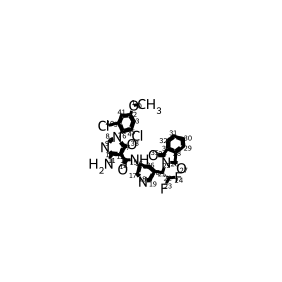 COc1cc(Cl)c(-n2cnc(N)c(C(=O)Nc3cncc([C@@H](C(F)F)N4C(=O)c5ccccc5C4=O)c3)c2=O)c(Cl)c1